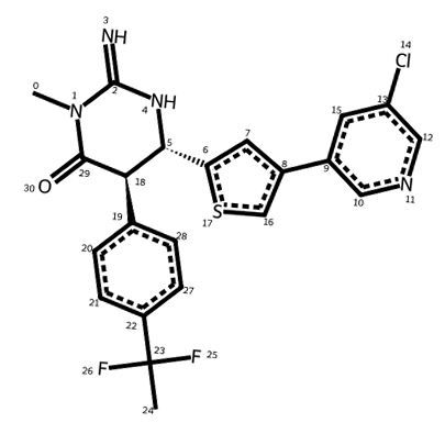 CN1C(=N)N[C@H](c2cc(-c3cncc(Cl)c3)cs2)[C@@H](c2ccc(C(C)(F)F)cc2)C1=O